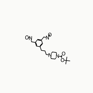 CC(C)(C)OC(=O)N1CCN(CCCc2cc(CN=O)cc(CN=O)c2)CC1